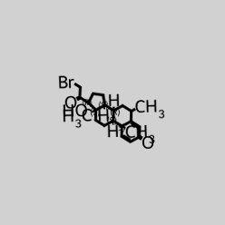 CC1C[C@@H]2[C@H](CC[C@@]3(C)[C@H]2CC[C@]3(O)C(=O)CBr)[C@@]2(C)C=CC(=O)C=C12